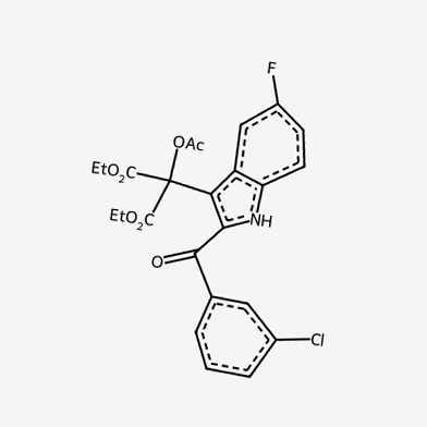 CCOC(=O)C(OC(C)=O)(C(=O)OCC)c1c(C(=O)c2cccc(Cl)c2)[nH]c2ccc(F)cc12